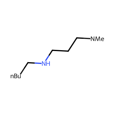 [CH2]CCCCNCCCNC